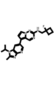 Cc1nc2ncc(-c3ccn4nc(NCC5(F)CCC5)ncc34)cc2n1C(C)C